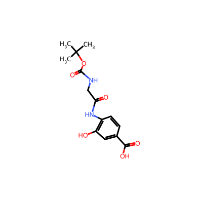 CC(C)(C)OC(=O)NCC(=O)Nc1ccc(C(=O)O)cc1O